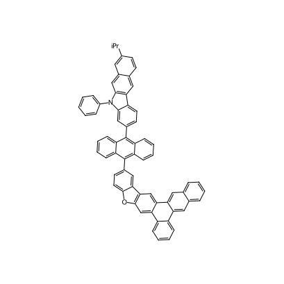 CC(C)c1ccc2cc3c4ccc(-c5c6ccccc6c(-c6ccc7oc8cc9c%10ccccc%10c%10cc%11ccccc%11cc%10c9cc8c7c6)c6ccccc56)cc4n(-c4ccccc4)c3cc2c1